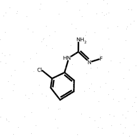 NC(=NF)Nc1ccccc1Cl